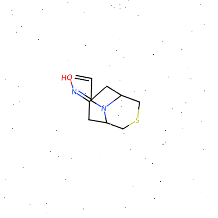 C=CCN1C2CSCC1CC(=NO)C2